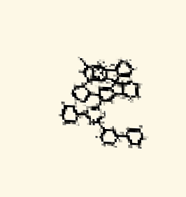 Cc1cncc(-c2ccccc2-c2cc3c(cc2-c2nc(-c4ccccc4)nc(-c4cccc(-c5ccccc5)c4)n2)-c2ccccc2C32c3ccccc3-c3ccccc32)c1